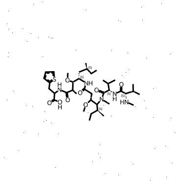 CC[C@H](C)C[C@H](NC(=O)CC(OC)C([C@@H](C)CC)N(C)C(=O)[C@@H](NC(=O)[C@@H](NC)C(C)C)C(C)C)C(OC)C(C)C(=O)NC(Cc1cccs1)C(=O)O